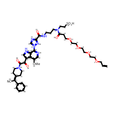 C=CCOCCOCCOCCOCCC(=O)N(CCCNC(=O)c1ncn(-c2ncc(OC)c3c(C(=O)C(=O)N4CCC(=C(C#N)c5ccccc5)CC4)c[nH]c23)n1)CCS(=O)(=O)O